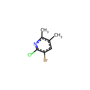 Cc1cc(Br)c(Cl)nc1C